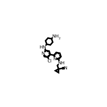 N#CC1(CNc2cccc(-c3cc(NC4CCC(N)CC4)ncc3Cl)n2)CC1